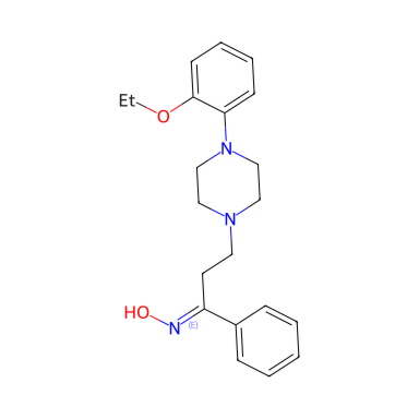 CCOc1ccccc1N1CCN(CC/C(=N\O)c2ccccc2)CC1